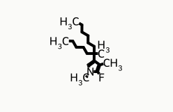 CCCCCCC(C)(CCCCC)c1cn(C)c(F)c1C